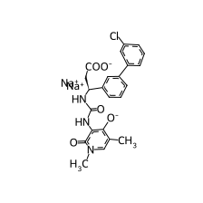 Cc1cn(C)c(=O)c(NC(=O)N[C@@H](CC(=O)[O-])c2cccc(-c3cccc(Cl)c3)c2)c1[O-].[Na+].[Na+]